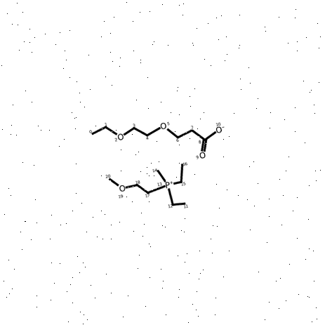 CCOCCOCCC(=O)[O-].CC[P+](C)(CC)CCOC